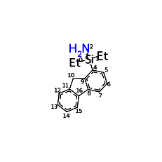 CC[Si](N)(CC)c1cccc2c1Cc1ccccc1-2